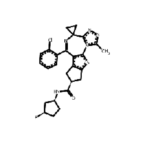 Cc1nnc2n1-c1sc3c(c1C(c1ccccc1Cl)=NC21CC1)C[C@H](C(=O)N[C@H]1CC[C@@H](F)C1)C3